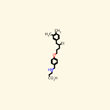 CCC(CCCOc1ccc(CNCCC(=O)O)cc1)Cc1ccc(C)c(C)c1